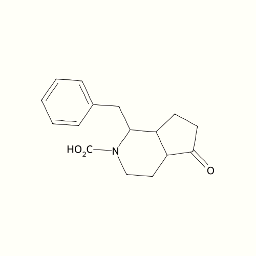 O=C1CCC2C1CCN(C(=O)O)C2Cc1ccccc1